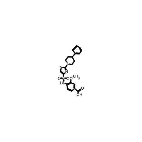 COc1cc(C(=O)O)ccc1NS(=O)(=O)c1csc(N2CCC(c3ccccc3)CC2)n1